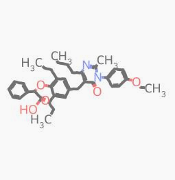 CCCCc1nc(C)n(-c2ccc(OCC)cc2)c(=O)c1Cc1cc(CCC)c(OC(C(=O)O)c2ccccc2)c(CCC)c1